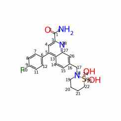 NC(=O)c1cc(-c2ccc(F)cc2)c2ccc(CN3CCCCS3(O)O)cc2n1